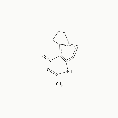 CC(=O)Nc1ccc2c(c1N=O)CCC2